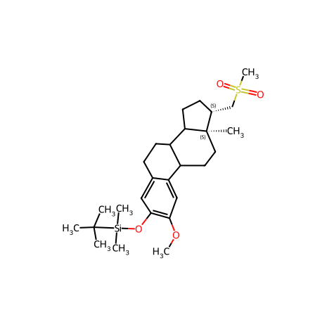 COc1cc2c(cc1O[Si](C)(C)C(C)(C)C)CCC1C2CC[C@@]2(C)C1CC[C@@H]2CS(C)(=O)=O